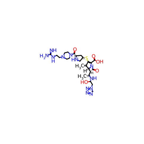 C[C@@H](NC(O)Cn1cnnn1)[C@H]1C(=O)N2C(C(=O)O)=C(S[C@@H]3CN[C@H](C(=O)N4CCN(CCNC(=N)N)CC4)C3)[C@H](C)[C@H]12